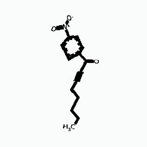 CCCCCC#CC(=O)c1ccc([N+](=O)[O-])cc1